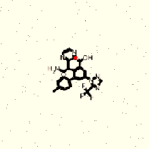 Cc1ccc(-c2cc(-n3ncnc3C(F)(F)F)cc(C(=O)O)c2C(C(N)=O)c2cnccn2)cc1